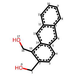 OCc1ccc2cc3ccccc3cc2c1CO